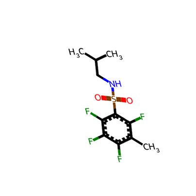 Cc1c(F)c(F)c(F)c(S(=O)(=O)NCC(C)C)c1F